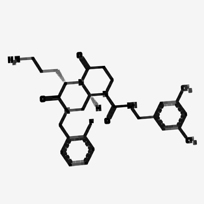 NCCC[C@H]1C(=O)N(Cc2ccccc2F)C[C@@H]2N(C(=O)NCc3cc(C(F)(F)F)cc(C(F)(F)F)c3)CCC(=O)N21